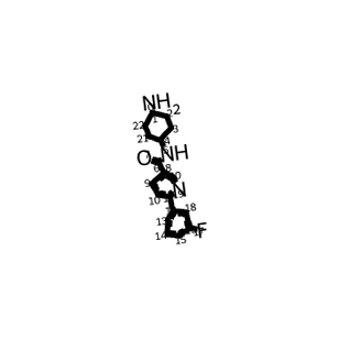 NC1CCC(NC(=O)c2ccc(-c3cccc(F)c3)nc2)CC1